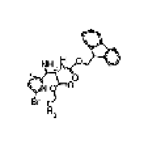 CCOC(=O)[C@@H](NC(=O)OCC1c2ccccc2-c2ccccc21)[C@H](N)c1nc(Br)cs1